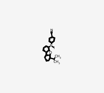 CC(C)c1cccc2c1oc1c(N(I)c3ccc(C#N)cc3)cccc12